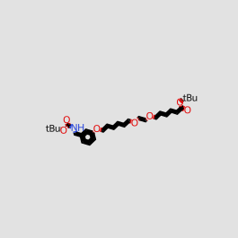 CC(C)(C)OC(=O)CCCCCOCCOCCCCCCOc1cccc(CNC(=O)OC(C)(C)C)c1